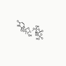 CC1(O)[C@@H](O)[C@@H](COP(=O)(O)OP(=O)(O)OP(=O)(O)O)O[C@H]1n1ccc(=O)[nH]c1=O